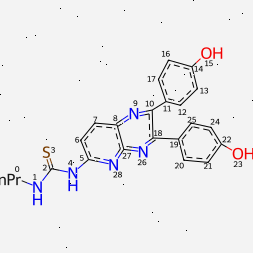 CCCNC(=S)Nc1ccc2nc(-c3ccc(O)cc3)c(-c3ccc(O)cc3)nc2n1